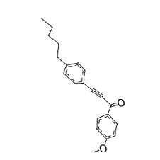 CCCCCc1ccc(C#CC(=O)c2ccc(OC)cc2)cc1